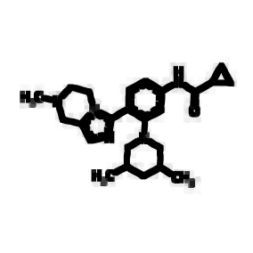 CC1CC(C)CN(c2cc(NC(=O)C3CC3)ccc2-c2ncc3n2CCN(C)C3)C1